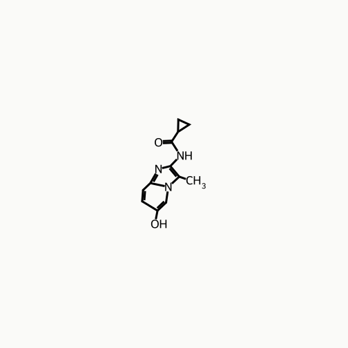 Cc1c(NC(=O)C2CC2)nc2ccc(O)cn12